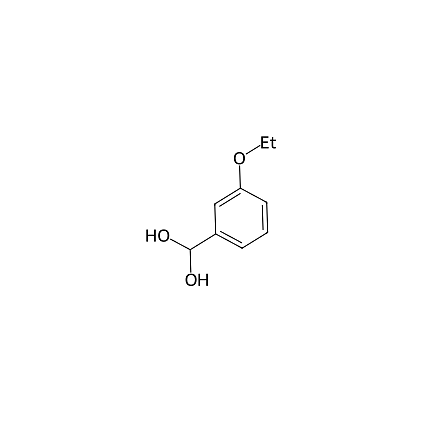 CCOc1cccc(C(O)O)c1